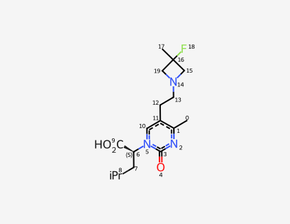 Cc1nc(=O)n([C@@H](CC(C)C)C(=O)O)cc1CCN1CC(C)(F)C1